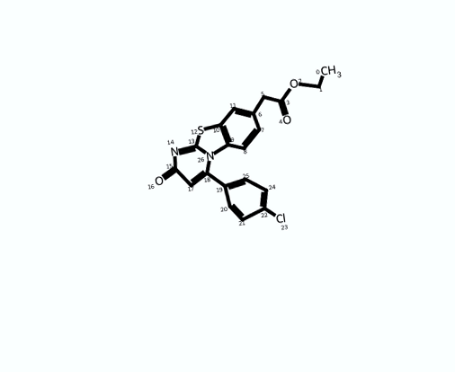 CCOC(=O)Cc1ccc2c(c1)sc1nc(=O)cc(-c3ccc(Cl)cc3)n12